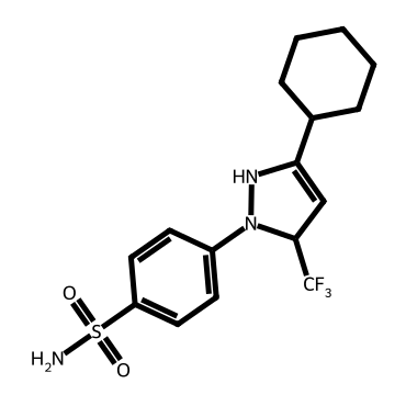 NS(=O)(=O)c1ccc(N2NC(C3CCCCC3)=CC2C(F)(F)F)cc1